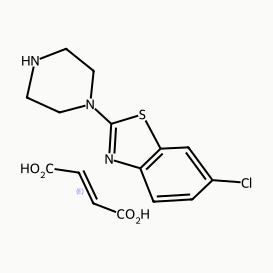 Clc1ccc2nc(N3CCNCC3)sc2c1.O=C(O)/C=C/C(=O)O